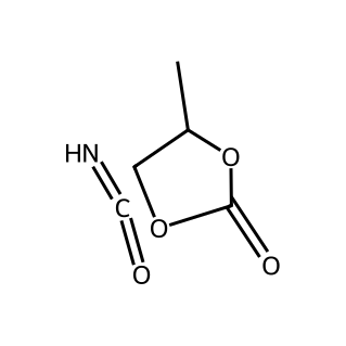 CC1COC(=O)O1.N=C=O